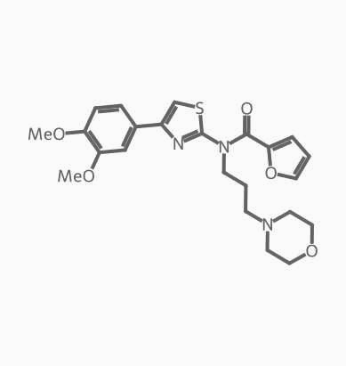 COc1ccc(-c2csc(N(CCCN3CCOCC3)C(=O)c3ccco3)n2)cc1OC